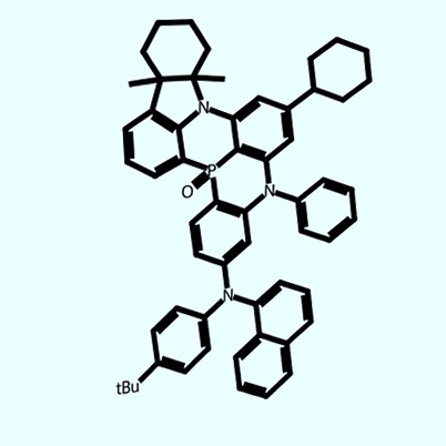 CC(C)(C)c1ccc(N(c2ccc3c(c2)N(c2ccccc2)c2cc(C4CCCCC4)cc4c2P3(=O)c2cccc3c2N4C2(C)CCCCC32C)c2cccc3ccccc23)cc1